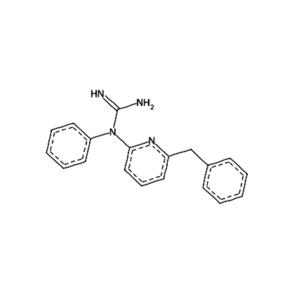 N=C(N)N(c1ccccc1)c1cccc(Cc2ccccc2)n1